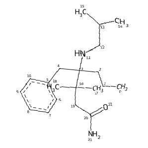 CCCC(Cc1ccccc1)(NCC(C)C)C(C)(C)CC(N)=O